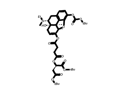 CCCCOC(=O)[C@@H](CC(=O)OC(C)(C)C)OC(=O)CCC(=O)OC1=CC[C@@]2(O)[C@H](N(C)CC)Cc3ccc(OC(=O)OC(C)(C)C)c4c3[C@@]2(C)[C@H]1O4